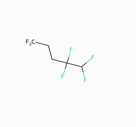 FC(F)C(F)(F)CCC(F)(F)F